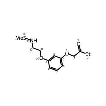 CCC(=O)COc1cccc(OCCNSC)c1